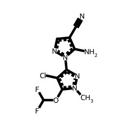 Cn1nc(-n2ncc(C#N)c2N)c(Cl)c1OC(F)F